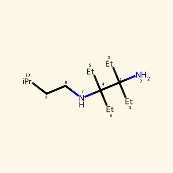 CCC(N)(CC)C(CC)(CC)NCCC(C)C